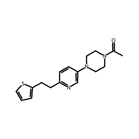 CC(=O)N1CCN(c2ccc(CCc3cccs3)nc2)CC1